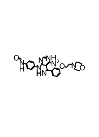 N=C(c1cccc(OCCN2CCOCC2)c1)c1c(N)ncnc1Nc1ccc(NC=O)cc1